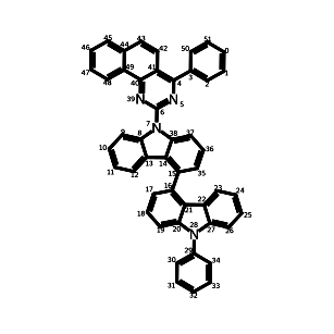 c1ccc(-c2nc(-n3c4ccccc4c4c(-c5cccc6c5c5ccccc5n6-c5ccccc5)cccc43)nc3c2ccc2ccccc23)cc1